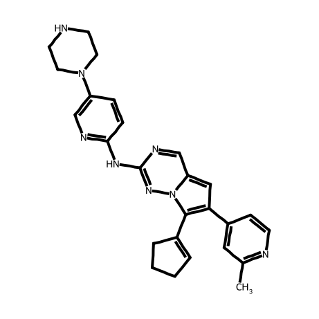 Cc1cc(-c2cc3cnc(Nc4ccc(N5CCNCC5)cn4)nn3c2C2=CCCC2)ccn1